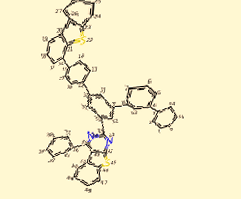 c1ccc(-c2cccc(-c3cc(-c4ccc(-c5cccc6c5sc5ccccc56)cc4)cc(-c4nc(-c5ccccc5)c5c(n4)sc4ccccc45)c3)c2)cc1